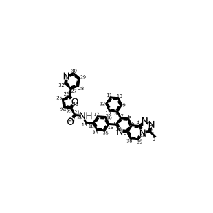 Cc1nnc2c3cc(-c4ccccc4)c(-c4ccc(CNC(=O)c5ccc(-c6cccnc6)o5)cc4)nc3ccn12